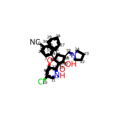 N#Cc1ccc([C@]23Oc4cc(Cl)cnc4[C@]2(O)[C@@H](O)[C@H](CN2CCCC2)[C@H]3c2ccccc2)cc1